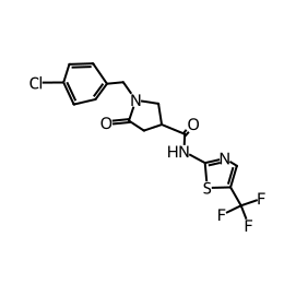 O=C(Nc1ncc(C(F)(F)F)s1)C1CC(=O)N(Cc2ccc(Cl)cc2)C1